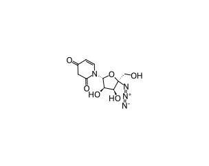 [N-]=[N+]=N[C@]1(CO)O[C@@H](N2C=CC(=O)CC2=O)[C@H](O)[C@@H]1O